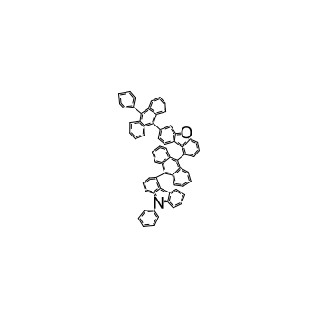 c1ccc(-c2c3ccccc3c(-c3ccc4c(c3)oc3cccc(-c5c6ccccc6c(-c6cccc7c6c6ccccc6n7-c6ccccc6)c6ccccc56)c34)c3ccccc23)cc1